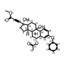 COC(=O)C#C[C@]1(O)CC[C@H]2[C@@H]3C[C@@H](OC(C)=O)C4C=C(Oc5ccccc5)C=CC4[C@@]3(O)CC[C@@]21C